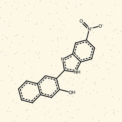 O=[N+]([O-])c1ccc2[nH]c(-c3cc4ccccc4cc3O)nc2c1